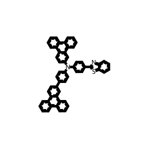 c1ccc2sc(-c3ccc(N(c4ccc(-c5ccc6c7ccccc7c7ccccc7c6c5)cc4)c4ccc5c6ccccc6c6ccccc6c5c4)cc3)nc2c1